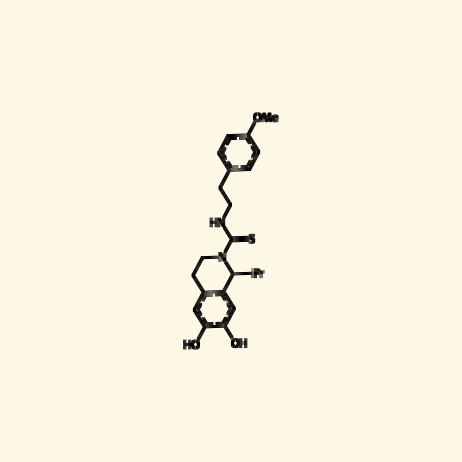 COc1ccc(CCNC(=S)N2CCc3cc(O)c(O)cc3C2C(C)C)cc1